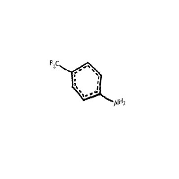 FC(F)(F)c1cc[c]([AlH2])cc1